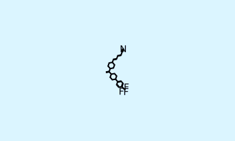 C=C(C1CCC(C=CC=CC#N)CC1)C1CCC(c2ccc(C(F)(F)F)cc2)CC1